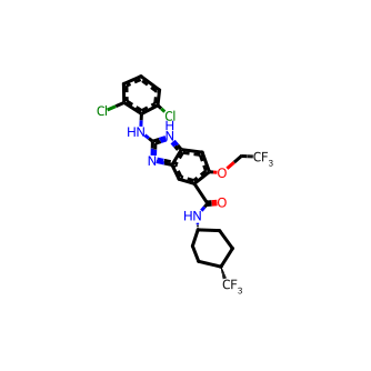 O=C(N[C@H]1CC[C@H](C(F)(F)F)CC1)c1cc2nc(Nc3c(Cl)cccc3Cl)[nH]c2cc1OCC(F)(F)F